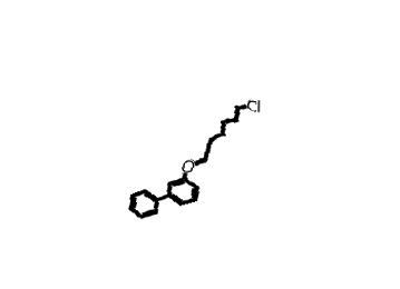 ClCCCCCCOc1cccc(-c2ccccc2)c1